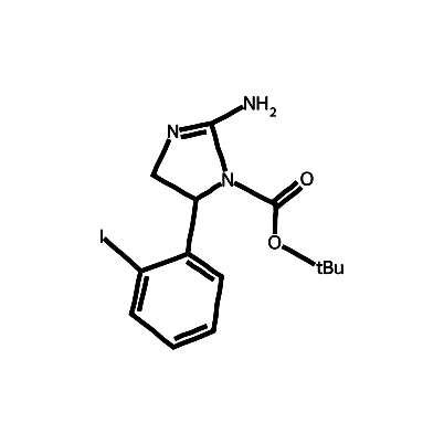 CC(C)(C)OC(=O)N1C(N)=NCC1c1ccccc1I